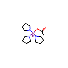 CC(=O)O[PH](N1CCCC1)(N1CCCC1)N1CCCC1